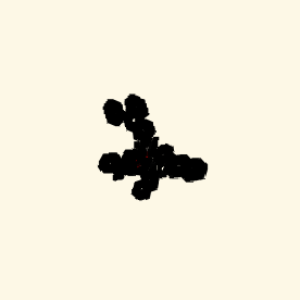 c1ccc(C2Cc3cc(-c4nc(-c5ccc6sc7ccccc7c6c5)nc(-c5ccc6c(oc7cc8ccccc8cc76)c5-n5c6cc7ccccc7cc6c6c7ccccc7ccc65)n4)ccc3-c3ccccc32)cc1